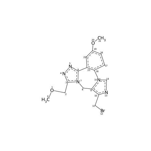 COCc1nnc2n1Cc1c(CBr)ncn1-c1ccc(OC)cc1-2